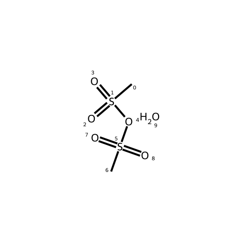 CS(=O)(=O)OS(C)(=O)=O.O